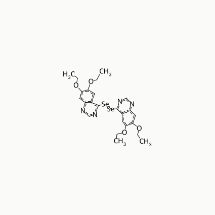 CCOc1cc2ncnc([Se][Se]c3ncnc4cc(OCC)c(OCC)cc34)c2cc1OCC